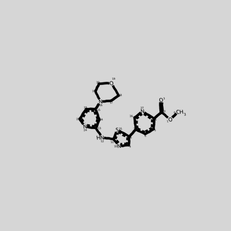 COC(=O)c1ccc(-c2cnc(Nc3cc(N4CCOCC4)ccn3)s2)cn1